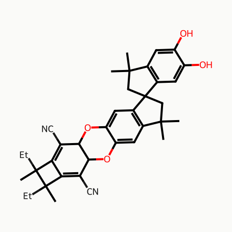 CCC1(C)C2=C(C#N)C3Oc4cc5c(cc4OC3C(C#N)=C2C1(C)CC)C1(CC(C)(C)c2cc(O)c(O)cc21)CC5(C)C